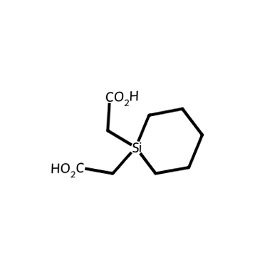 O=C(O)C[Si]1(CC(=O)O)CCCCC1